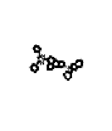 C1=Cc2c(c3cc4ccccc4cc3n2-c2ccc3c(c2)-c2cccc4c(-c5nc(-c6ccccc6)nc(-c6ccccc6)n5)ccc-3c24)CC1